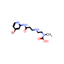 CN(CCNCCC(=O)Nc1cc(Br)ccn1)C(=O)O